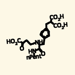 CCCCCNC(=O)C(Cc1ccc(CC(C(=O)O)C(=O)O)cc1)NCCC(=O)C(=O)O